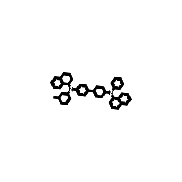 CC1C=C(N(c2ccc(C3=CCC(N(c4ccccc4)c4cccc5ccccc45)C=C3)cc2)C2CC=Cc3ccccc32)C=CC1